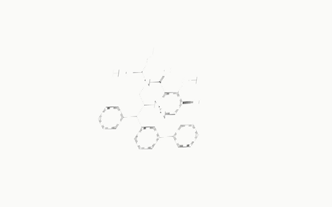 CC(C)N1CC(C(c2ccccc2)c2cccc(-c3ccccc3)c2)n2ncc(=O)c(O)c2C1=O